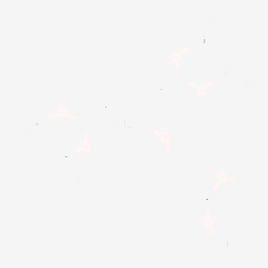 CO[Si](C)(CCCOCC(CC(C)(C)C(O[SiH2]C)O[SiH2]C)C(C)(C)C(O[SiH2]C)O[SiH2]C)OC